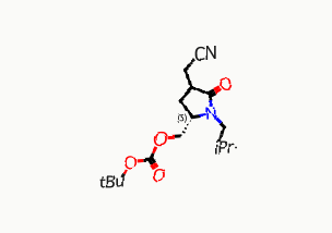 C[C](C)CN1C(=O)C(CC#N)C[C@H]1COC(=O)OC(C)(C)C